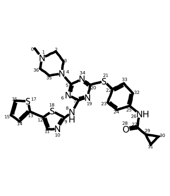 CN1CCN(c2nc(Nc3ncc(-c4cccs4)s3)nc(Sc3ccc(NC(=O)C4CC4)cc3)n2)CC1